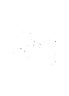 Nc1ccc(Nc2ccc(N)cc2S(=O)(=O)O)cc1.Nc1cccc(OCCCCCOc2cccc(N)c2)c1